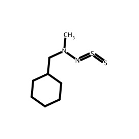 CN(CC1CCCCC1)N=S=S